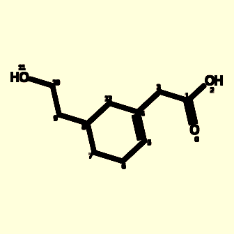 O=C(O)CC1=CCCC(CCO)C1